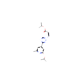 Cc1cc(-c2ncn(/C=C\C(=O)OC(C)C)n2)cc(OC(C)C)n1